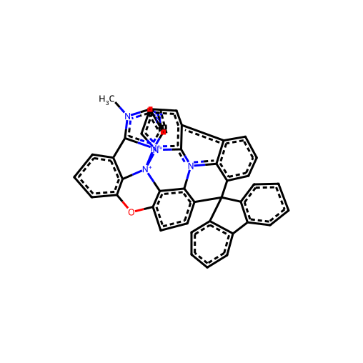 Cn1c2[n+](c3cccnc31)[N+]13c4c(cccc4-2)Oc2ccc4c(c21)-n1c2c(cccc2c2ccc[n+]3c21)C41c2ccccc2-c2ccccc21